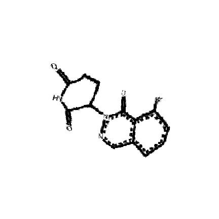 O=C1CCC(n2ncc3cccc(Br)c3c2=O)C(=O)N1